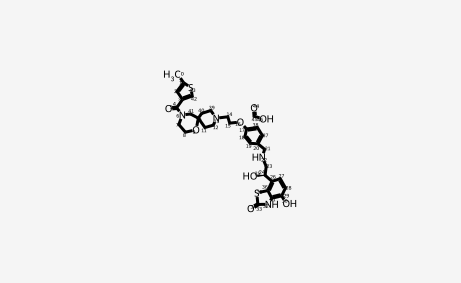 Cc1cc(C(=O)N2CCOC3(CCN(CCOc4ccc(CNC[C@H](O)c5ccc(O)c6[nH]c(=O)sc56)cc4)CC3)C2)cs1.O=CO